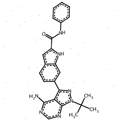 CC(C)(C)n1nc(-c2ccc3cc(C(=O)Nc4ccccc4)[nH]c3c2)c2c(N)ncnc21